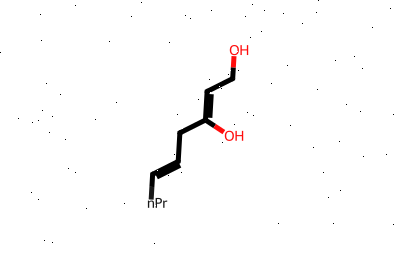 [CH2]CCC=CCC(O)=CCO